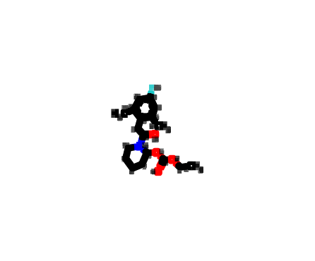 CCOC(=O)OC1CCCCN1C(=O)Cc1c(C)cc(F)cc1C